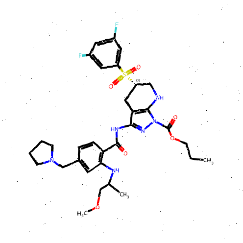 CCCOC(=O)n1nc(NC(=O)c2ccc(CN3CCCC3)cc2NC(C)COC)c2c1NC[C@@H](S(=O)(=O)c1cc(F)cc(F)c1)C2